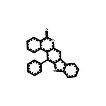 O=c1oc2cc3c([nH]c4ccccc43)c(-c3ccccc3)c2c2ccccc12